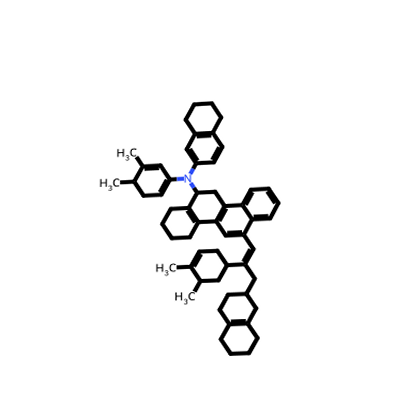 CC1=CC(N(c2ccc3c(c2)CCCC3)C2Cc3c(cc(/C=C(/CC4CCC5=C(CCCC5)C4)C4CC=C(C)C(C)C4)c4ccccc34)C3=C2CCCC3)=CCC1C